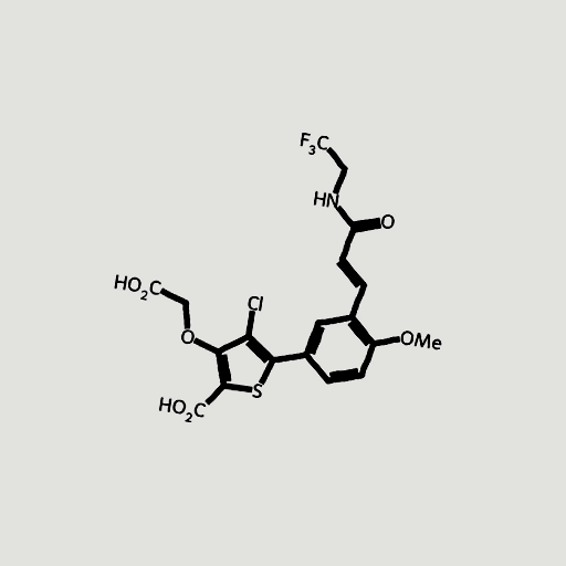 COc1ccc(-c2sc(C(=O)O)c(OCC(=O)O)c2Cl)cc1C=CC(=O)NCC(F)(F)F